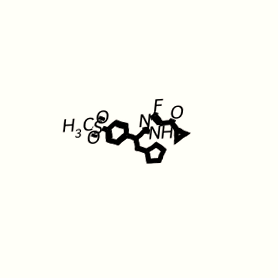 CS(=O)(=O)c1ccc(C(CC2CCCC2)c2nc(F)c(C(=O)C3CC3)[nH]2)cc1